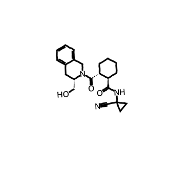 N#CC1(NC(=O)[C@@H]2CCCC[C@H]2C(=O)N2Cc3ccccc3C[C@H]2CO)CC1